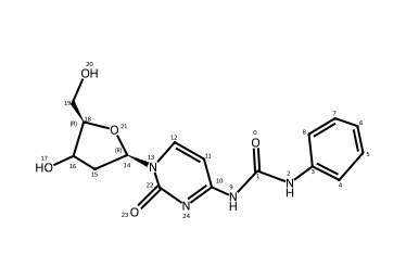 O=C(Nc1ccccc1)Nc1ccn([C@H]2CC(O)[C@@H](CO)O2)c(=O)n1